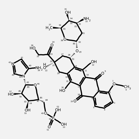 COc1cccc2c1C(=O)c1c(O)c3c(c(O)c1C2=O)C[C@@](O)(C(=O)CO)C[C@@H]3O[C@H]1C[C@H](N)[C@H](O)[C@H](C)O1.Nc1cncn1[C@@H]1O[C@H](COP(=O)(O)O)[C@@H](O)[C@H]1O